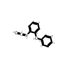 O=C=Nc1ccccc1Oc1ccccc1